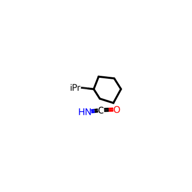 CC(C)C1CCCCC1.N=C=O